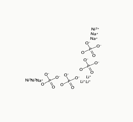 O=P([O-])([O-])[O-].O=P([O-])([O-])[O-].O=P([O-])([O-])[O-].O=P([O-])([O-])[O-].[Li+].[Li+].[Li+].[Na+].[Na+].[Na+].[Ni+2].[Ni+2].[Ni+2]